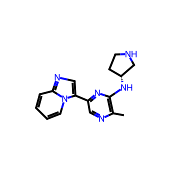 Cc1ncc(-c2cnc3ccccn23)nc1N[C@@H]1CCNC1